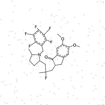 COc1cc2c(cc1OC)C(=O)C(CC(C)(F)CC1CCC(C)N1Cc1c(F)c(F)c(F)c(F)c1F)C2